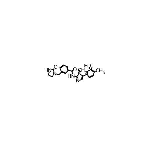 Cc1ccc(-c2cnc(NC(=O)c3cccc(CN4CCNC4=O)c3)n2C)cc1C